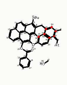 CCC=CC(C)CCCc1c(CCCC)c2ccc3cccc4c(OC(=O)c5ccccc5)c(Oc5ccccc5)c(c1Oc1ccccc1)c2c34.CO